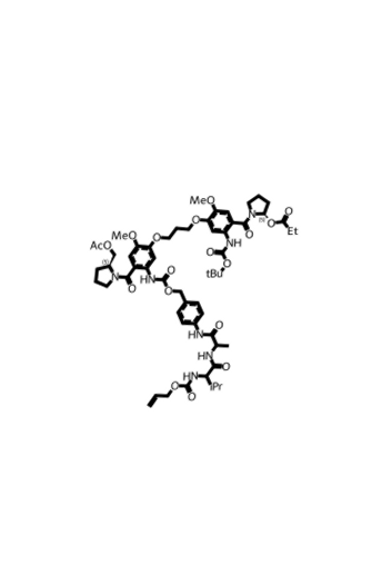 C=CCOC(=O)NC(C(=O)NC(C)C(=O)Nc1ccc(COC(=O)Nc2cc(OCCCOc3cc(NC(=O)OC(C)(C)C)c(C(=O)N4CCC[C@@H]4OC(=O)CC)cc3OC)c(OC)cc2C(=O)N2CCC[C@H]2COC(C)=O)cc1)C(C)C